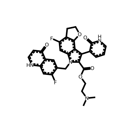 CN(C)CCOC(=O)c1c(-c2ccc[nH]c2=O)c2c3c(c(F)cc2n1Cc1cc2c(=O)cc[nH]c2cc1F)CCO3